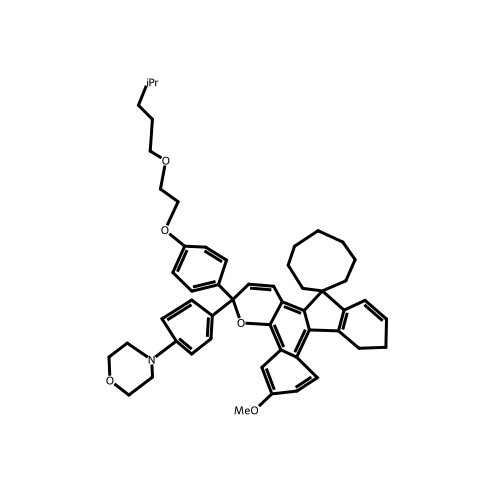 COc1ccc2c3c(c4c(c2c1)OC(c1ccc(OCCOCCCC(C)C)cc1)(c1ccc(N2CCOCC2)cc1)C=C4)C1(CCCCCCC1)C1=C3CCC=C1